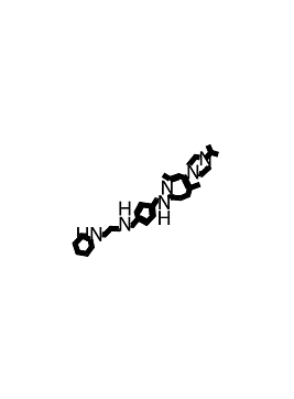 CC1=C/C(N2CCN(C(C)C)CC2)=C(/C)CC/C(NCc2ccc(CNCCCNC3CCCCC3)cc2)=N\1